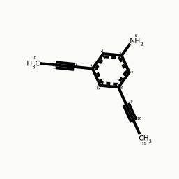 CC#Cc1cc(N)cc(C#CC)c1